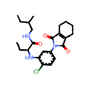 CCC(C)CNC(=O)C(CC)Nc1cc(N2C(=O)C3=C(CCCC3)C2=O)ccc1Cl